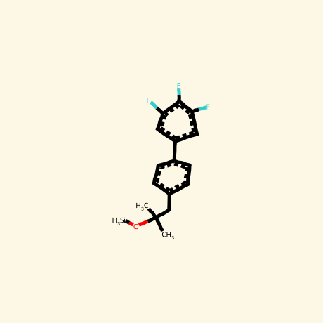 CC(C)(Cc1ccc(-c2cc(F)c(F)c(F)c2)cc1)O[SiH3]